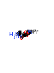 CC(C)CN1CCC(S(=O)(=O)c2ccc(C3OC3Nc3ccccc3N)cc2)CC1